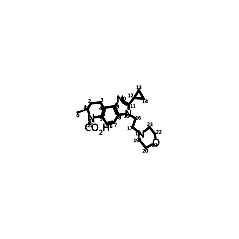 C[C@H]1CCc2c(ccc3c2nc(C2CC2)n3CCN2CCOCC2)N1C(=O)O